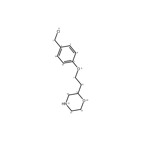 ClCc1ccc(OCCC2CNCCO2)cc1